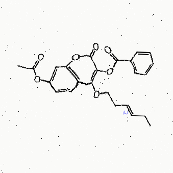 CC/C=C/CCOc1c(OC(=O)c2ccccc2)c(=O)oc2cc(OC(C)=O)ccc12